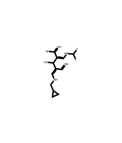 N=C/C(=C\NCC1CC1)C(O)/C(=C/NC(F)F)C(=N)Br